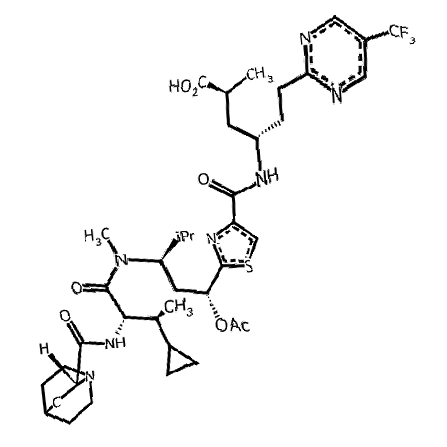 CC(=O)O[C@H](C[C@H](C(C)C)N(C)C(=O)[C@@H](NC(=O)[C@H]1CC2CCN1CC2)[C@@H](C)C1CC1)c1nc(C(=O)N[C@@H](CCc2ncc(C(F)(F)F)cn2)C[C@H](C)C(=O)O)cs1